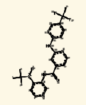 CC(C)(C)[S+]([O-])c1ccncc1NC(=O)c1ccnc(Nc2ccc(C(F)(F)F)cn2)c1